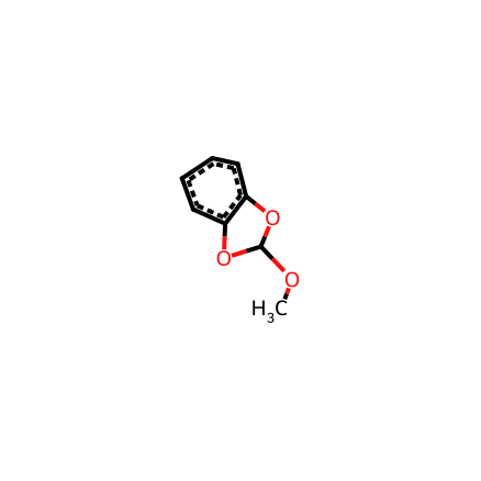 COC1Oc2ccccc2O1